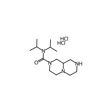 CC(C)N(C(=O)N1CCN2CCNCC2C1)C(C)C.Cl.Cl